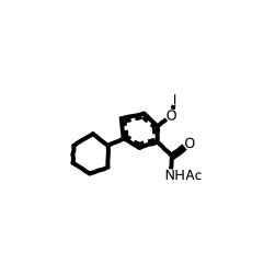 CC(=O)NC(=O)c1cc(C2CCCCC2)ccc1OI